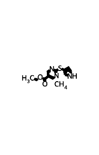 C.CCOC(=O)c1cnc(SC2CC3CC2N3)nc1